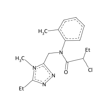 CCc1nnc(CN(C(=O)C(Cl)CC)c2ccccc2C)n1C